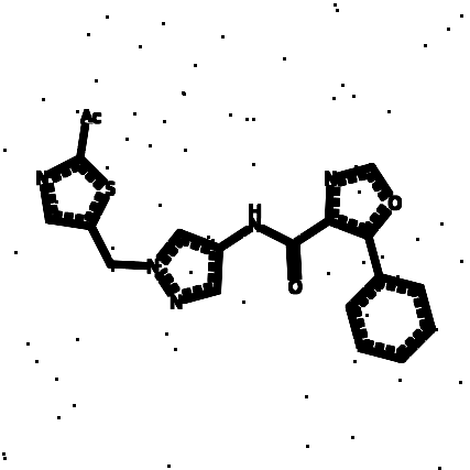 CC(=O)c1ncc(Cn2cc(NC(=O)c3ncoc3-c3ccccc3)cn2)s1